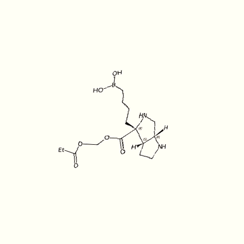 CCC(=O)OCOC(=O)[C@]1(CCCCB(O)O)NC[C@@H]2NCC[C@@H]21